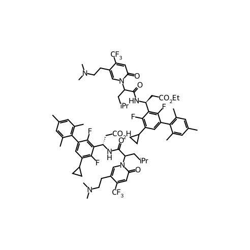 CCOC(=O)C[C@H](NC(=O)C(CC(C)C)n1cc(CCN(C)C)c(C(F)(F)F)cc1=O)c1c(F)c(-c2c(C)cc(C)cc2C)cc(C2CC2)c1F.Cc1cc(C)c(-c2cc(C3CC3)c(F)c([C@H](CC(=O)O)NC(=O)C(CC(C)C)n3cc(CCN(C)C)c(C(F)(F)F)cc3=O)c2F)c(C)c1